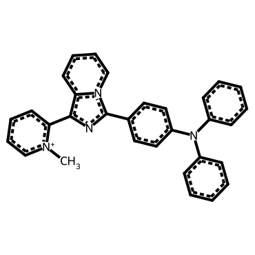 C[n+]1ccccc1-c1nc(-c2ccc(N(c3ccccc3)c3ccccc3)cc2)n2ccccc12